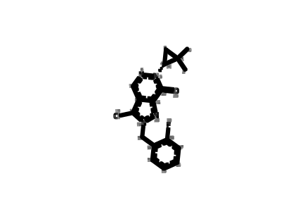 CC1(C)C[C@H]1n1ncc2c(Cl)n(Cc3ccccc3F)nc2c1=O